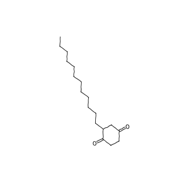 CCCCCCCCCCCCC1CC(=O)CCC1=O